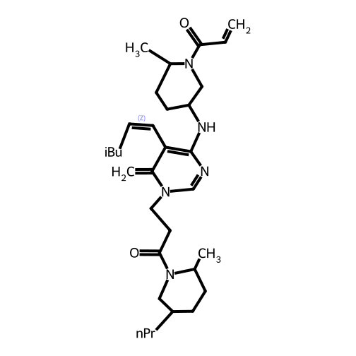 C=CC(=O)N1CC(NC2=C(/C=C\C(C)CC)C(=C)N(CCC(=O)N3CC(CCC)CCC3C)C=N2)CCC1C